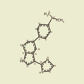 CN(C)c1ccc(-c2cnc3[nH]cc(-c4nccs4)c3c2)cc1